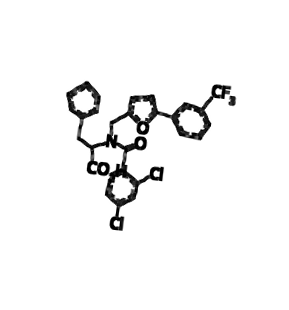 O=C(O)C(Cc1ccccc1)N(Cc1ccc(-c2cccc(C(F)(F)F)c2)o1)C(=O)c1ccc(Cl)cc1Cl